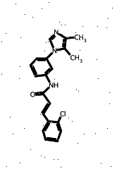 Cc1ncn(-c2cccc(NC(=O)C=Cc3ccccc3Cl)c2)c1C